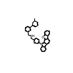 CC1C=CC=C(c2cccc(CNCc3ccc(-n4c5ccccc5c5ccc6c7ccccc7oc6c54)cc3)c2)C1